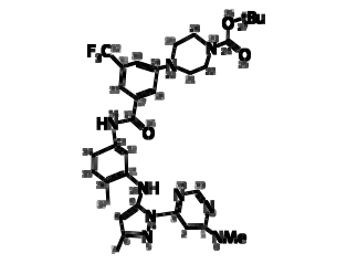 CNc1cc(-n2nc(C)cc2Nc2cc(NC(=O)c3cc(N4CCN(C(=O)OC(C)(C)C)CC4)cc(C(F)(F)F)c3)ccc2C)ncn1